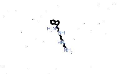 NCCCNCCCCNCCC(N)c1cccc2ccccc12